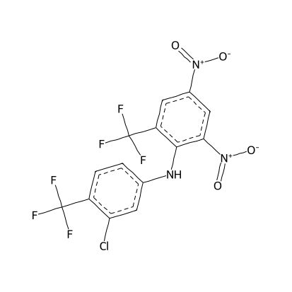 O=[N+]([O-])c1cc([N+](=O)[O-])c(Nc2ccc(C(F)(F)F)c(Cl)c2)c(C(F)(F)F)c1